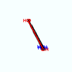 O=C(O)CCCCCCCCCCCCCCCCCCCCCCCCCCCCCCCCCCCCCCCCCCCCNNNNC(=O)O